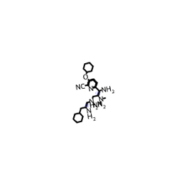 CN(N)/C(CN(N)/C=C(\N)CC1CCCCC1)=C(\N)c1ccc(OC2CCCCC2)c(C#N)n1